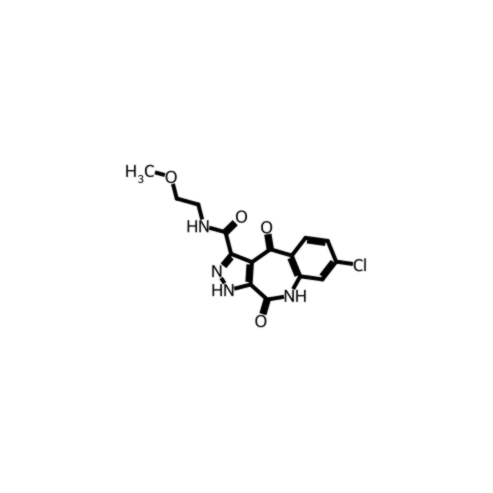 COCCNC(=O)c1n[nH]c2c(=O)[nH]c3cc(Cl)ccc3c(=O)c12